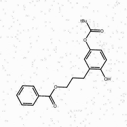 CC(C)(C)C(=O)Oc1ccc(O)c(CCCOC(=O)c2ccccc2)c1